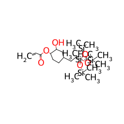 C=CC(=O)OC1CCC(CC[Si](O[Si](C)(C)C)(O[Si](C)(C)C)O[Si](C)(C)C)CC1O